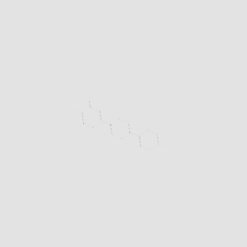 CC1CCC(C2CCC(C3CC(C)C(F)C(F)C3)CC2)CC1